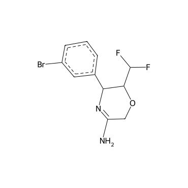 NC1=NC(c2cccc(Br)c2)C(C(F)F)OC1